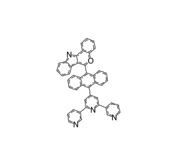 c1cncc(-c2cc(-c3c4ccccc4c(-c4oc5ccccc5c5nc6ccccc6c4-5)c4ccccc34)cc(-c3cccnc3)n2)c1